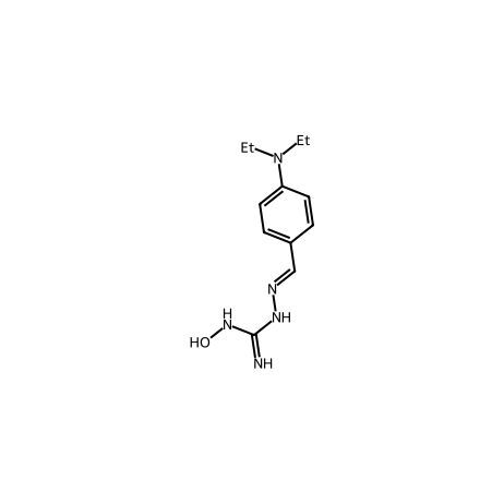 CCN(CC)c1ccc(C=NNC(=N)NO)cc1